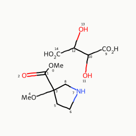 COC(=O)C1(OC)CCNC1.O=C(O)C(O)C(O)C(=O)O